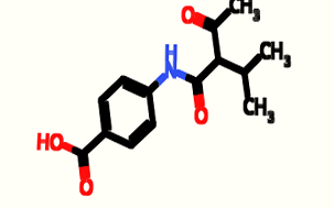 CC(=O)C(C(=O)Nc1ccc(C(=O)O)cc1)C(C)C